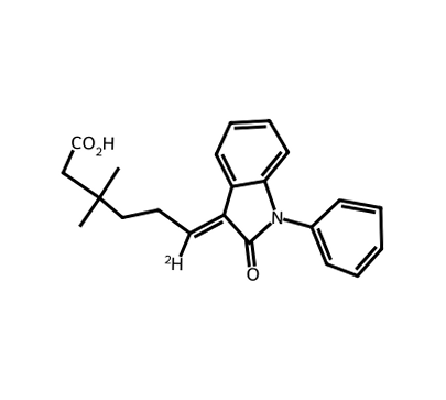 [2H]/C(CCC(C)(C)CC(=O)O)=C1\C(=O)N(c2ccccc2)c2ccccc21